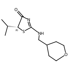 CC(C)[C@H]1SC(NCC2CCOCC2)=NC1=O